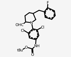 CC(C)(C)OC(=O)Nc1cc(Cl)c(N2CC(Cc3ccccc3F)CCC2C=O)c(Cl)c1